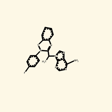 CC(C1=Nc2ccccc2SN1c1ccc(F)cc1)n1cnc2c(N)ncnc21